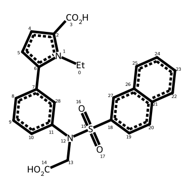 CCn1c(C(=O)O)ccc1-c1cccc(N(CC(=O)O)S(=O)(=O)c2ccc3ccccc3c2)c1